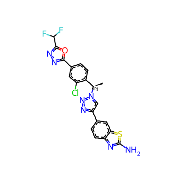 C[C@H](c1ccc(-c2nnc(C(F)F)o2)cc1Cl)n1cc(-c2ccc3nc(N)sc3c2)nn1